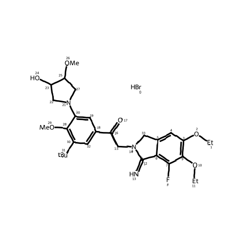 Br.CCOc1cc2c(c(F)c1OCC)C(=N)N(CC(=O)c1cc(N3CC(O)C(OC)C3)c(OC)c(C(C)(C)C)c1)C2